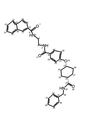 O=C(NCCNC(=O)c1ccc2ccccc2c1)c1ccc(O[C@H]2CC[C@@H](C(=O)NCc3ccccc3)CC2)cc1